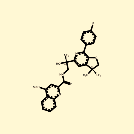 COc1cc(C(=O)NC[C@](O)(c2cc3c(c(-c4ccc(F)cc4)n2)OC[C@@]3(N)C(F)(F)F)C(F)(F)F)nc2ccccc12